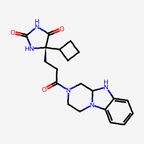 O=C1NC(=O)[C@](CCC(=O)N2CCN3c4ccccc4NC3C2)(C2CCC2)N1